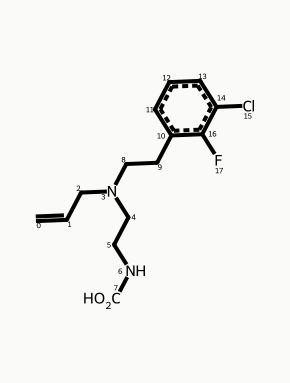 C=CCN(CCNC(=O)O)CCc1cccc(Cl)c1F